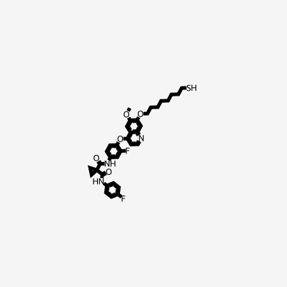 COc1cc2c(Oc3ccc(NC(=O)C4(C(=O)Nc5ccc(F)cc5)CC4)cc3F)ccnc2cc1OCCCCCCCCS